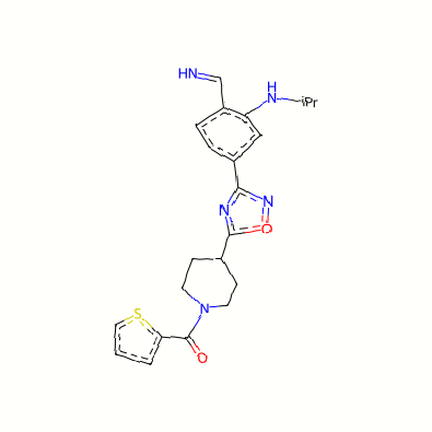 CC(C)Nc1cc(-c2noc(C3CCN(C(=O)c4cccs4)CC3)n2)ccc1C=N